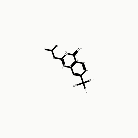 CC(C)Cc1nc2cc(C(F)(F)F)ccc2c(=O)o1